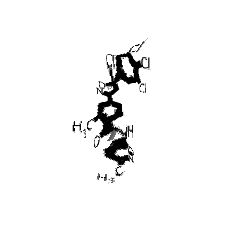 CC1=NOC(NC(=O)c2ccc(C3=NO[C@@](c4cc(Cl)c(Cl)c(Cl)c4)(C(F)(F)F)C3)cc2C)C1